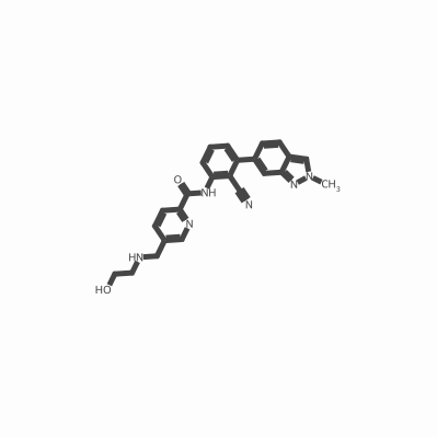 Cn1cc2ccc(-c3cccc(NC(=O)c4ccc(CNCCO)cn4)c3C#N)cc2n1